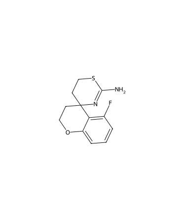 NC1=NC2(CCOc3cccc(F)c32)CCS1